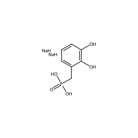 O=P(O)(O)Cc1cccc(O)c1O.[NaH].[NaH]